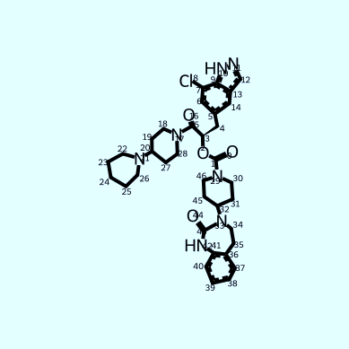 O=C(O[C@H](Cc1cc(Cl)c2[nH]ncc2c1)C(=O)N1CCC(N2CCCCC2)CC1)N1CCC(N2CCc3ccccc3NC2=O)CC1